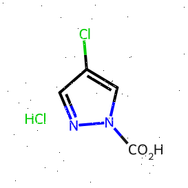 Cl.O=C(O)n1cc(Cl)cn1